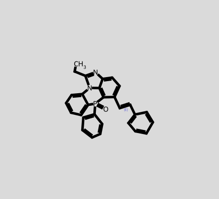 CCc1nc2ccc(/C=C/c3ccccc3)c3c2n1-c1ccccc1P3(=O)c1ccccc1